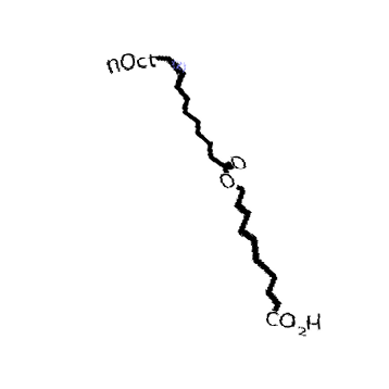 CCCCCCCC/C=C\CCCCCCCC(=O)OCCCCCCCCCC(=O)O